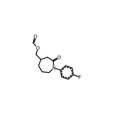 O=COCC1CCCN(c2ccc(F)cc2)C(=O)C1